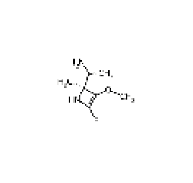 COC1=C(F)N[C@@]1(C)C(C)N